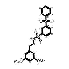 COc1cc(CCNS(=O)(=O)c2cccc(S(=O)(=O)c3ccccc3)c2)cc(OC)c1